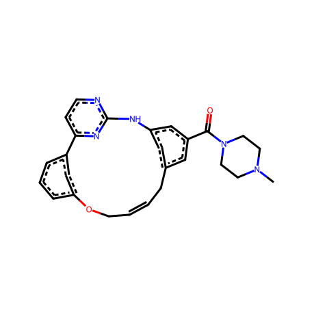 CN1CCN(C(=O)c2cc3cc(c2)Nc2nccc(n2)-c2cccc(c2)OC/C=C\C3)CC1